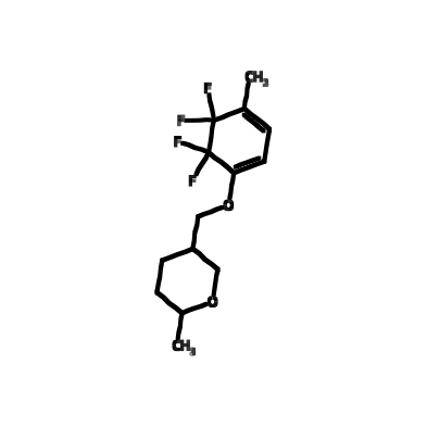 CC1=CC=C(OCC2CCC(C)OC2)C(F)(F)C1(F)F